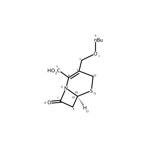 CCCCOCC1=C(C(=O)O)N2C(=O)C[C@@H]2SC1